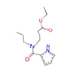 CCCN(CCC(=O)OCC)C(=O)c1ccc[nH]1